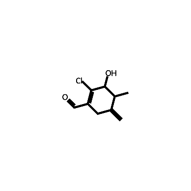 C=C1CC(C=O)=C(Cl)C(O)C1C